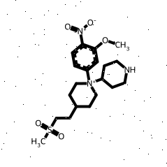 COc1cc([N+]2(C3CCNCC3)CCC(CCS(C)(=O)=O)CC2)ccc1[N+](=O)[O-]